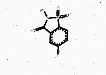 CC(C)N1C(=O)c2cc(F)ccc2S1(=O)=O